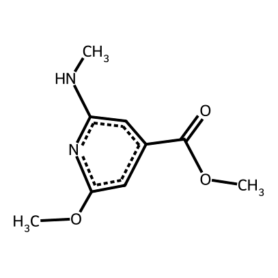 CNc1cc(C(=O)OC)cc(OC)n1